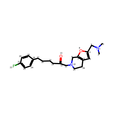 CN(C)Cc1cc2c(o1)CN(CC(=O)CCCCc1ccc(F)cc1)CC2